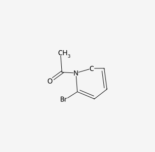 CC(=O)N1CC=CC=C1Br